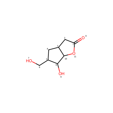 O=C1CC2CC(CO)C(O)C2O1